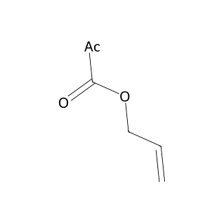 C=CCOC(=O)C(C)=O